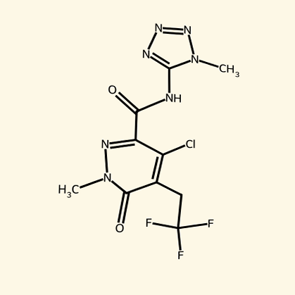 Cn1nnnc1NC(=O)c1nn(C)c(=O)c(CC(F)(F)F)c1Cl